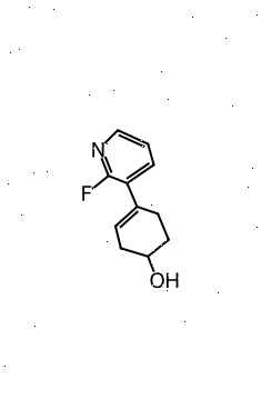 OC1CC=C(c2cccnc2F)CC1